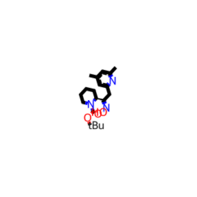 Cc1cc(C)nc(C/C(=N/O)[C@@H]2CCCCN2C(=O)OC(C)(C)C)c1